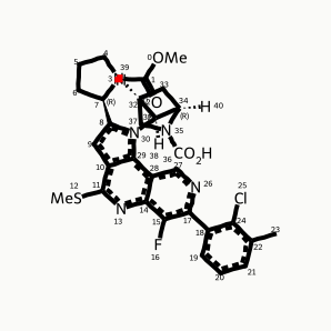 COC(=O)N1CCC[C@@H]1c1cc2c(SC)nc3c(F)c(-c4cccc(C)c4Cl)ncc3c2n1[C@H]1[C@@H]2C[C@H]1N(C(=O)O)C2